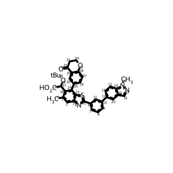 Cc1cc2nc(-c3cccc(-c4ccc5c(cnn5C)c4)c3)sc2c(-c2ccc3c(c2)C(=O)CCO3)c1C(OC(C)(C)C)C(=O)O